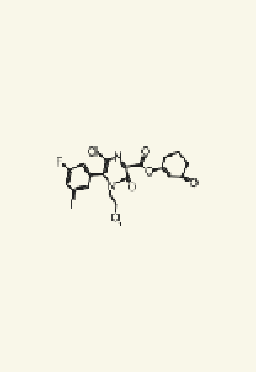 COCCn1c(-c2cc(F)cc(F)c2)c(Cl)nc(C(=O)OC2=CC(=O)CCC2)c1=O